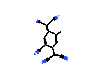 CC1=CC(C(C#N)C#N)C(C#N)=CC1=C(C#N)C#N